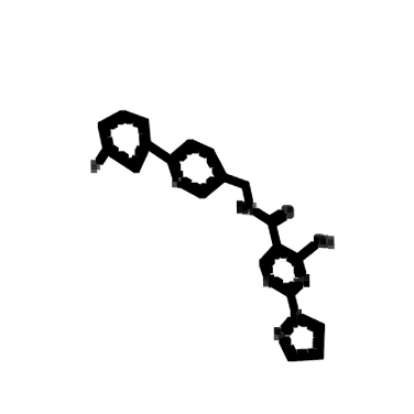 O=C(NCc1ccc(-c2cccc(F)c2)nc1)c1cnc(-n2cccn2)nc1O